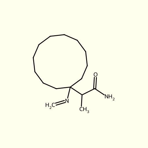 C=NC1(C(C)C(N)=O)CCCCCCCCCCC1